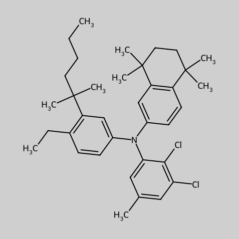 CCCCC(C)(C)c1cc(N(c2ccc3c(c2)C(C)(C)CCC3(C)C)c2cc(C)cc(Cl)c2Cl)ccc1CC